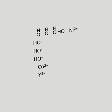 [Co+2].[Ni+2].[OH-].[OH-].[OH-].[OH-].[OH-].[OH-].[OH-].[Y+3]